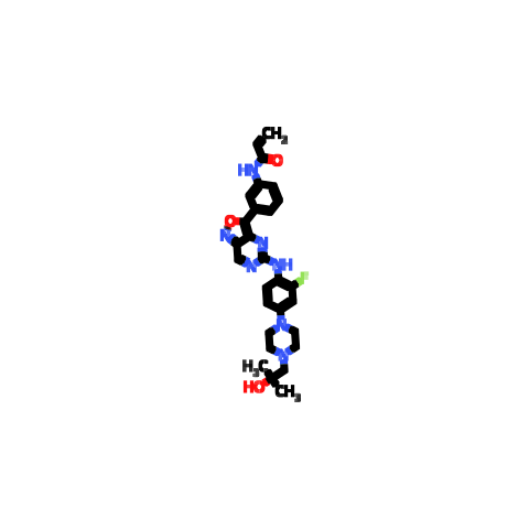 C=CC(=O)Nc1cccc(-c2onc3cnc(Nc4ccc(N5CCN(CC(C)(C)O)CC5)cc4F)nc23)c1